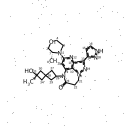 C[C@@H]1COCCN1c1cc2c3c(n1)c(-c1cc[nH]n1)nn3CCC(=O)N2C1CC2(C1)CC(C)(O)C2